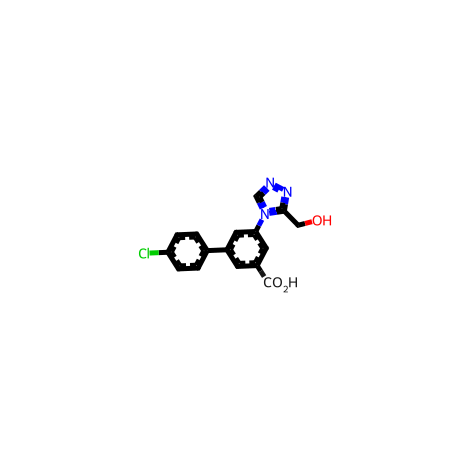 O=C(O)c1cc(-c2ccc(Cl)cc2)cc(-n2cnnc2CO)c1